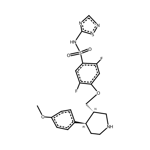 COc1ccc([C@@H]2CCNC[C@H]2COc2cc(F)c(S(=O)(=O)Nc3ncns3)cc2F)cc1